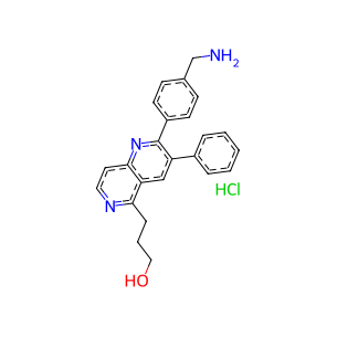 Cl.NCc1ccc(-c2nc3ccnc(CCCO)c3cc2-c2ccccc2)cc1